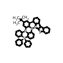 CC(C)(C)c1cc2c3c(c1)N1c4ccccc4[Si](c4ccccc4)(c4ccccc4)c4cccc(c41)B3n1c3sc4ccccc4c3c3cccc-2c31